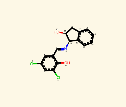 Oc1c(Cl)cc(Cl)cc1C=N[C@@H]1c2ccccc2C[C@@H]1O